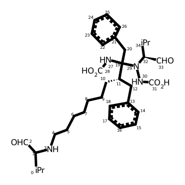 CC(C)C(C=O)NCCCCCCC[C@@H](Cc1ccccc1)C(Cc1ccccc1)(NC(=O)O)N(NC(=O)O)[C@H](C=O)C(C)C